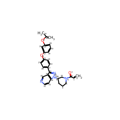 C=CC(=O)N1CCC[C@@H](n2nc(-c3ccc(Oc4cccc(OC(C)C)c4)cc3)c3cnccc32)C1